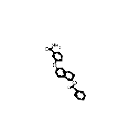 NC(=O)c1cccc(Oc2ccc3cc(OC(=O)c4ccccc4)ccc3c2)c1